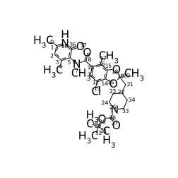 Cc1cc(C)c(N(C)C(=O)c2cc(Cl)c3c(c2C)OC(C)(CC2CCN(C(=O)OC(C)(C)C)CC2)O3)c(=O)[nH]1